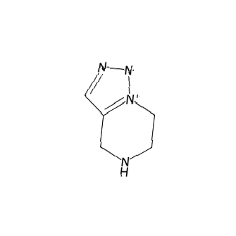 C1=N[N][N+]2=C1CNCC2